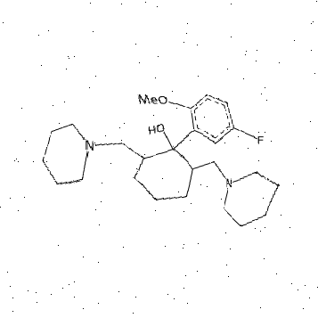 COc1ccc(F)cc1C1(O)C(CN2CCCCC2)CCCC1CN1CCCCC1